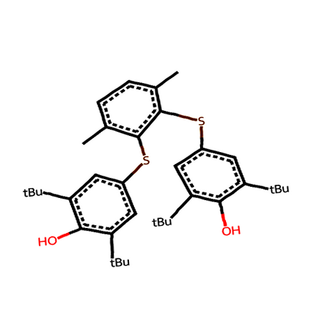 Cc1ccc(C)c(Sc2cc(C(C)(C)C)c(O)c(C(C)(C)C)c2)c1Sc1cc(C(C)(C)C)c(O)c(C(C)(C)C)c1